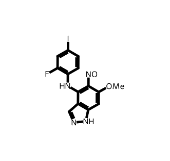 COc1cc2[nH]ncc2c(Nc2ccc(I)cc2F)c1N=O